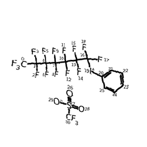 FC(F)(F)C(F)(F)C(F)(F)C(F)(F)C(F)(F)C(F)(F)C(F)(F)[I+]c1ccccc1.O=S(=O)([O-])C(F)(F)F